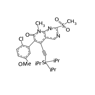 COc1ccc(Cl)c(-c2c(C#C[Si](C(C)C)(C(C)C)C(C)C)c3cnc(S(C)(=O)=O)nc3n(C)c2=O)c1